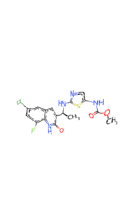 COC(=O)Nc1cnc(N[C@@H](C)c2cc3cc(Cl)cc(F)c3[nH]c2=O)s1